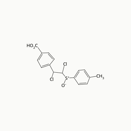 Cc1ccc([S+]([O-])C(Cl)C(Cl)c2ccc(C(=O)O)cc2)cc1